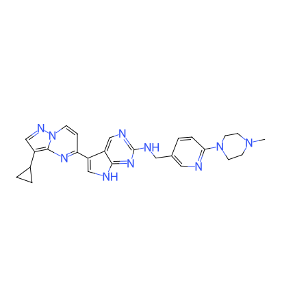 CN1CCN(c2ccc(CNc3ncc4c(-c5ccn6ncc(C7CC7)c6n5)c[nH]c4n3)cn2)CC1